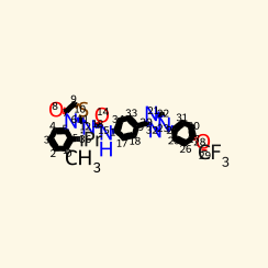 Cc1cccc(N2C(=O)CS/C2=N\C(=O)Nc2ccc(-c3ncn(-c4ccc(OC(F)(F)F)cc4)n3)cc2)c1C(C)C